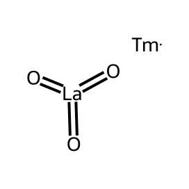 [O]=[La](=[O])=[O].[Tm]